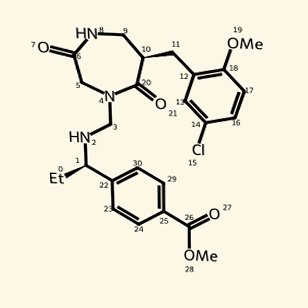 CC[C@@H](NCN1CC(=O)NC[C@@H](Cc2cc(Cl)ccc2OC)C1=O)c1ccc(C(=O)OC)cc1